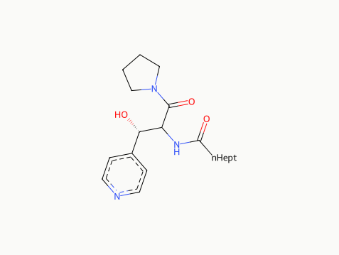 CCCCCCCC(=O)NC(C(=O)N1CCCC1)[C@@H](O)c1ccncc1